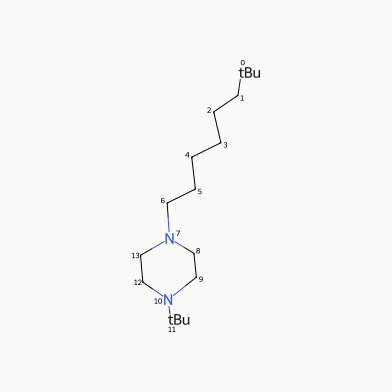 CC(C)(C)CCCCCCN1CCN(C(C)(C)C)CC1